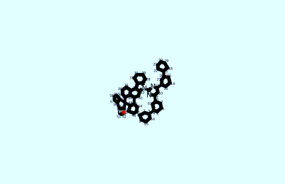 c1ccc(-c2cccc(-c3cc(-c4cccc(-c5ccccc5)c4)nc(-n4c5ccccc5c5c6cccc7c6c(cc54)-c4ccccc4C74c5ccccc5-c5ccccc54)n3)c2)cc1